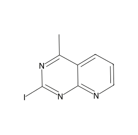 Cc1nc(I)nc2ncccc12